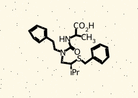 CC(NC(=O)N(CCc1ccccc1)C[C@@H](SCc1ccccc1)C(C)C)C(=O)O